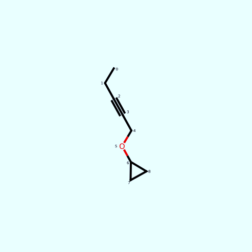 CCC#CCOC1CC1